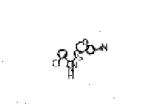 N#Cc1ccc2c(c1)OCCc1cc(-c3n[nH]cc3-c3ccccc3Cl)sc1-2